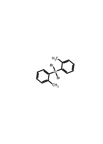 Cc1cccc[c]1[Zr]([Br])([Br])[c]1ccccc1C